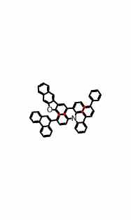 c1ccc(-c2ccc(-c3ccccc3N(c3ccc(-c4cc5ccccc5c5ccccc45)cc3)c3ccccc3-c3ccc4oc5cc6ccccc6cc5c4c3)cc2)cc1